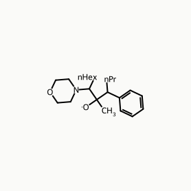 CCCCCCC(N1CCOCC1)C(C)([O])C(CCC)c1ccccc1